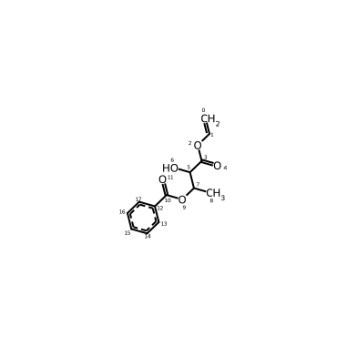 C=COC(=O)C(O)C(C)OC(=O)c1ccccc1